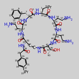 CC(C)C[C@@H]1NC(=O)[C@@H](Cc2ccccc2)NC(=O)[C@H](CCN)NC(=O)[C@@H](NC(=O)Cc2ccc(C(C)C)cc2)CCNC(=O)[C@H]([C@@H](C)O)NC(=O)[C@H](CCN)NC(=O)[C@H](CCN)NC1=O